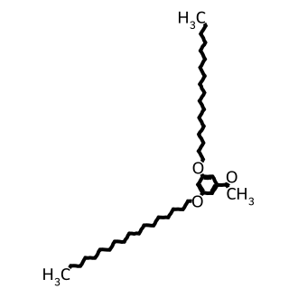 CCCCCCCCCCCCCCCCCCOc1cc(OCCCCCCCCCCCCCCCCCC)cc(C(C)=O)c1